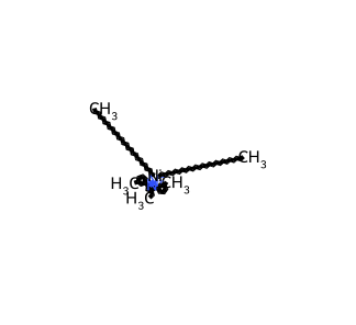 CCC1=C(c2cccc(C)c2)[N+](=[N-])C(c2cccc(C)c2)=C1.CCCCCCCCCCCCCCCCCCCCCCCCC[CH2][Ni][CH2]CCCCCCCCCCCCCCCCCCCCCCCCC